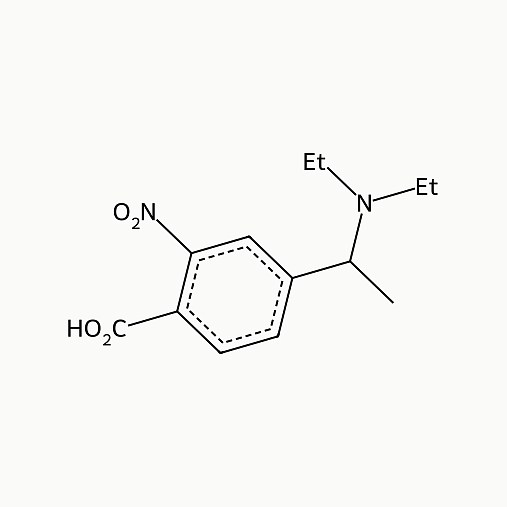 CCN(CC)C(C)c1ccc(C(=O)O)c([N+](=O)[O-])c1